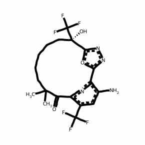 CC1(C)CCCCC[C@@](O)(C(F)(F)F)c2nnc(o2)-c2nc(c(C(F)(F)F)cc2N)C1=O